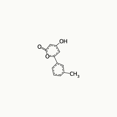 Cc1cccc(-c2cc(O)cc(=O)o2)c1